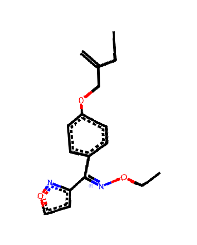 C=C(CC)COc1ccc(/C(=N\OCC)c2ccon2)cc1